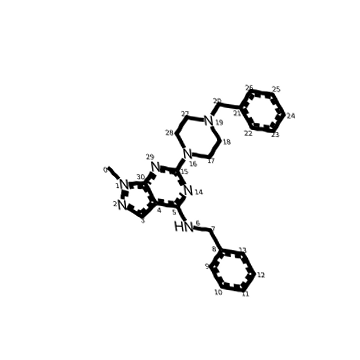 Cn1ncc2c(NCc3ccccc3)nc(N3CCN(Cc4ccccc4)CC3)nc21